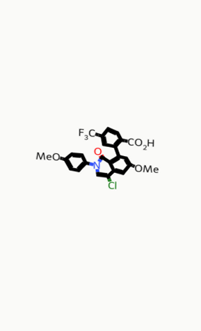 COc1ccc(-n2cc(Cl)c3cc(OC)cc(-c4cc(C(F)(F)F)ccc4C(=O)O)c3c2=O)cc1